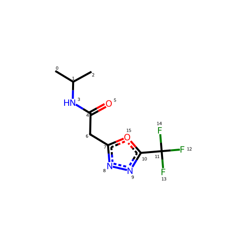 CC(C)NC(=O)Cc1nnc(C(F)(F)F)o1